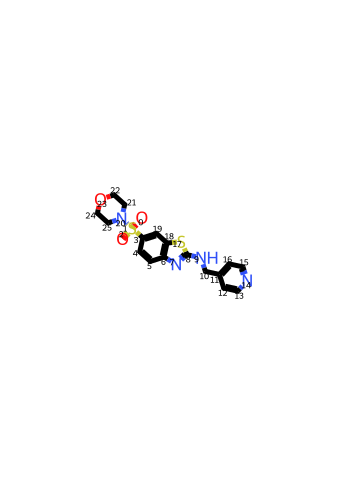 O=S(=O)(c1ccc2nc(NCc3ccncc3)sc2c1)N1CCOCC1